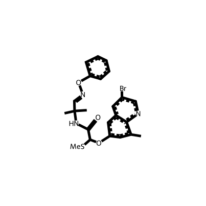 CSC(Oc1cc(C)c2ncc(Br)cc2c1)C(=O)NC(C)(C)C=NOc1ccccc1